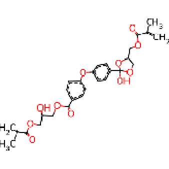 C=C(C)C(=O)OCC(O)COC(=O)c1ccc(Oc2ccc(C3(O)OCC(COC(=O)C(=C)C)O3)cc2)cc1